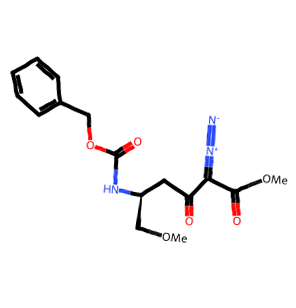 COC[C@H](CC(=O)C(=[N+]=[N-])C(=O)OC)NC(=O)OCc1ccccc1